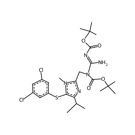 CC(C)c1nc(CN(C(=O)OC(C)(C)C)C(N)=NC(=O)OC(C)(C)C)n(C)c1Sc1cc(Cl)cc(Cl)c1